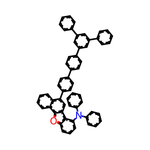 c1ccc(-c2cc(-c3ccccc3)cc(-c3ccc(-c4ccc(-c5cc6c(oc7cccc(N(c8ccccc8)c8ccccc8)c76)c6ccccc56)cc4)cc3)c2)cc1